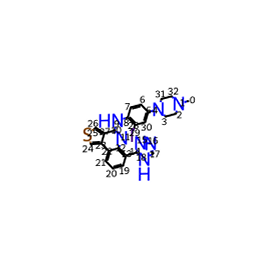 CN1CCN(c2ccc(Nc3nc4c(-c5nnc[nH]5)cccc4c4cscc34)c(I)c2)CC1